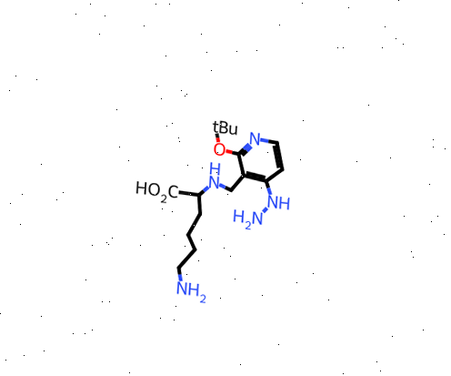 CC(C)(C)Oc1nccc(NN)c1CNC(CCCCN)C(=O)O